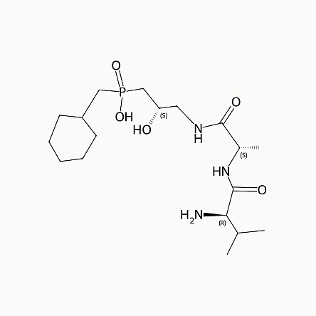 CC(C)[C@@H](N)C(=O)N[C@@H](C)C(=O)NC[C@H](O)CP(=O)(O)CC1CCCCC1